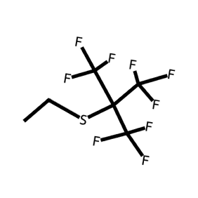 CCSC(C(F)(F)F)(C(F)(F)F)C(F)(F)F